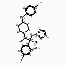 C[C@@H](N1CCC(Nc2ccc(F)cc2)CC1)[C@](O)(Cn1cncn1)c1ccc(F)cc1F